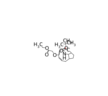 CCOC(=O)COC1=CC=CCC2CCC(CC=C1)C2NC(=O)OC(C)(C)C